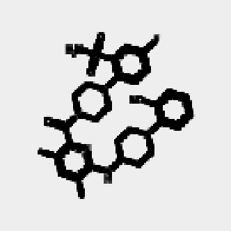 Cc1cc(C)c(C(=O)N2CCN(c3ccc(F)cc3S(N)(=O)=O)CC2)nc1NC1CCN(c2ccccc2C#N)CC1